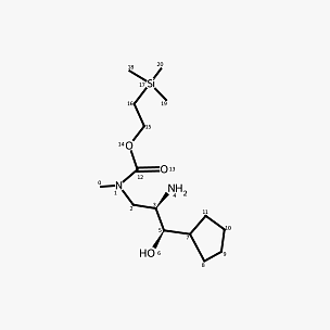 CN(C[C@@H](N)[C@H](O)C1CCCC1)C(=O)OCC[Si](C)(C)C